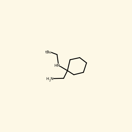 CC(C)(C)CNC1(CN)CCCCC1